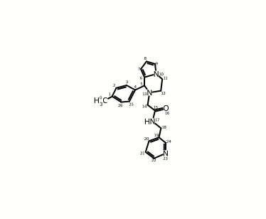 Cc1ccc(C2c3cccn3CCN2CC(=O)NCc2cccnc2)cc1